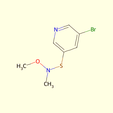 CON(C)Sc1cncc(Br)c1